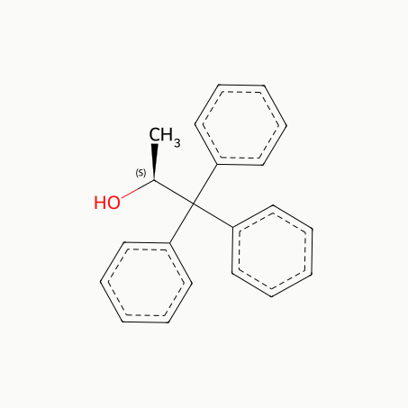 C[C@H](O)C(c1ccccc1)(c1ccccc1)c1ccccc1